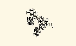 CN(C(=O)c1cnc(N2C[C@H](NC(=O)OC(C)(C)C)[C@@H](c3cc(F)ccc3F)C2)nc1)C1CCN(c2nc(C(F)F)no2)CC1